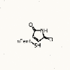 CCCCCS.O=C1C=CC(=O)N1